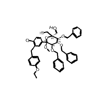 CCOc1ccc(Cc2cc([C@]3(OC)O[C@@](CO)(CS)[C@@H](OCc4ccccc4)[C@H](OCc4ccccc4)[C@H]3OCc3ccccc3)ccc2Cl)cc1